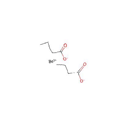 CCCC(=O)[O-].CCCC(=O)[O-].[Be+2]